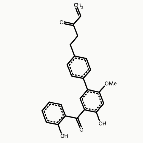 C=CC(=O)CCc1ccc(-c2cc(C(=O)c3ccccc3O)c(O)cc2OC)cc1